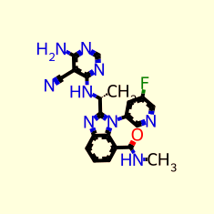 CNC(=O)c1cccc2nc([C@@H](C)Nc3ncnc(N)c3C#N)n(-c3cncc(F)c3)c12